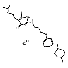 Cc1[nH]c(NCCCOc2cccc(CN3CCC(C)CC3)c2)nc(=O)c1CCSC(C)C.Cl.Cl